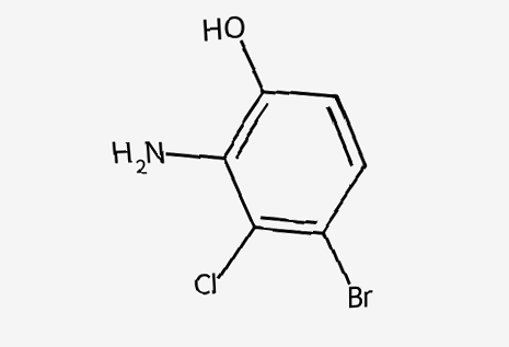 Nc1c(O)ccc(Br)c1Cl